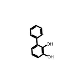 Oc1cccc(-c2[c]cccc2)c1O